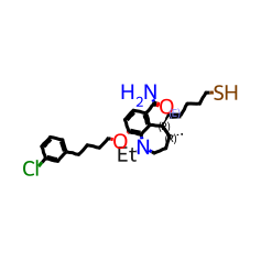 CCN1CC[C@@H](C)[C@H](/C=C/CCCS)c2c(C(N)=O)ccc(OCCCCc3cccc(Cl)c3)c21